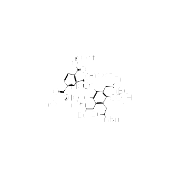 CCCCC(CC)Cc1c(CC(CC)CCCC)c(C(=O)O)c(C(=O)O)c(CC(CC)CCCC)c1C(=O)O.CCCCCCCCOC(=O)c1ccc(C(=O)OCCCCCCCC)c(C(=O)OCCCCCCCC)c1